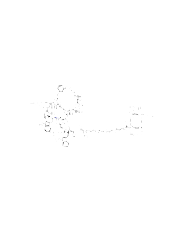 CC[C@H](C)C1NC(=O)C(CC(C)C)NC(=O)[C@@H](NC(=O)[C@H](CCC(=O)O)NC(=O)[C@@H](CC(C)C)NC(=O)C(/C=N/C(=O)[C@@H]2CCCN2C(=O)[C@H](CC(=O)O)NC(=O)[C@H](Cc2c[nH]c3ccccc23)NC(=O)CCC(=O)NCCCOCCOCCOCCCNC(=O)CN2CCN(CC(=O)O)CCN(CC(=O)O)CCN(CC(=O)O)CC2)Cc2c[nH]c3ccc(Cl)cc23)CSCc2cccc(c2)CSCCNC(=O)C(C)(C)NC1=O